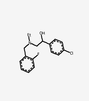 CCN(Cc1ccccc1F)CC(O)c1ccc(Cl)cc1